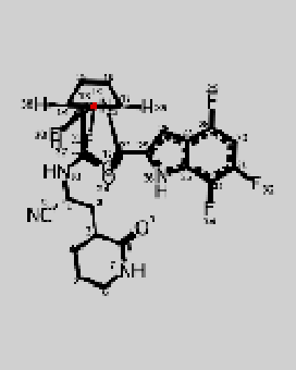 N#C[C@@H](C[C@@H]1CCCNC1=O)NC(=O)[C@@H]1[C@@H]2CC[C@@H](CC2(F)F)N1C(=O)c1cc2c(F)cc(F)c(F)c2[nH]1